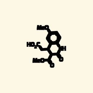 COC(=O)C1C(=O)Nc2ccc(OC)cc2C1CC(=O)O